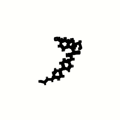 CCCCc1ccc(-c2ccc(CNC(=O)c3c(CC)nc4cc(Cl)ccn34)cc2)cc1